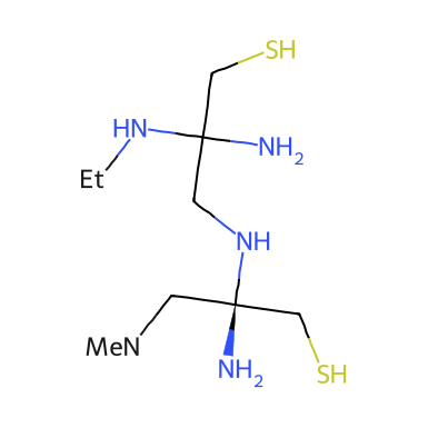 CCNC(N)(CS)CN[C@](N)(CS)CNC